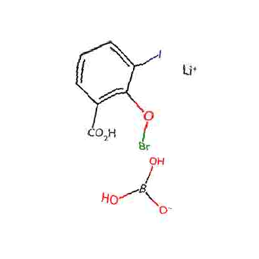 O=C(O)c1cccc(I)c1OBr.[Li+].[O-]B(O)O